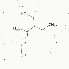 CCC(CO)C(C)CCO